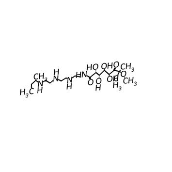 CCC(C)NCCNCCNCCNC(=O)[C@H](O)[C@@H](O)[C@H](O)[C@H](O)C(=O)C(C)(C)OC